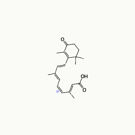 CC(C=CC1=C(C)C(=O)CCC1(C)C)=C/C=C\C(C)=CC(=O)O